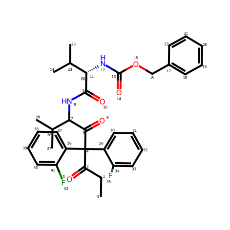 CCC(=O)C(C(=O)C(NC(=O)[C@@H](NC(=O)OCc1ccccc1)C(C)C)C(C)C)(c1ccccc1F)c1ccccc1F